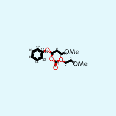 COCCOC(=O)OC(CCOC)Oc1ccccc1